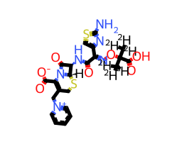 [2H]C([2H])([2H])C(O/N=C(/C(=O)N[C@@H]1C(=O)N2C(C(=O)[O-])=C(C[n+]3ccccc3)CS[C@H]12)c1csc(N)n1)(C(=O)O)C([2H])([2H])[2H]